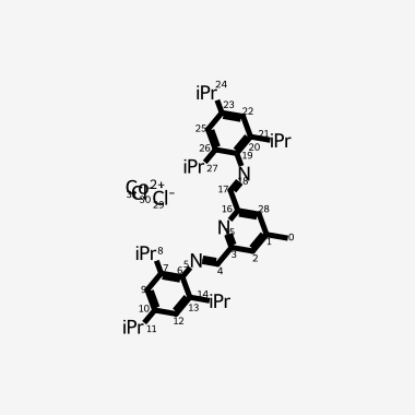 Cc1cc(C=Nc2c(C(C)C)cc(C(C)C)cc2C(C)C)nc(C=Nc2c(C(C)C)cc(C(C)C)cc2C(C)C)c1.[Cl-].[Cl-].[Co+2]